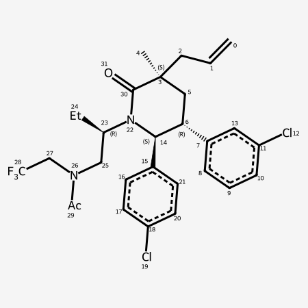 C=CC[C@@]1(C)C[C@H](c2cccc(Cl)c2)[C@@H](c2ccc(Cl)cc2)N([C@H](CC)CN(CC(F)(F)F)C(C)=O)C1=O